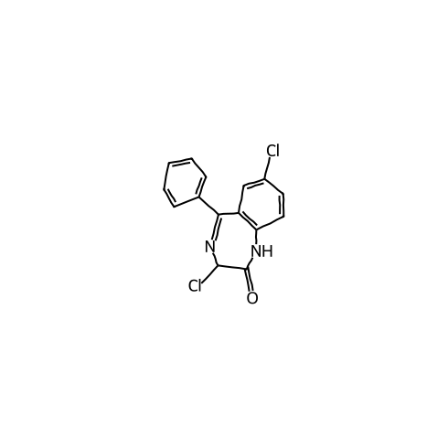 O=C1Nc2ccc(Cl)cc2C(c2ccccc2)=NC1Cl